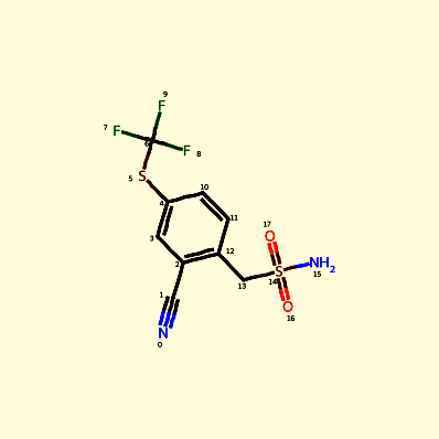 N#Cc1cc(SC(F)(F)F)ccc1CS(N)(=O)=O